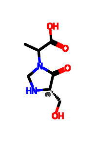 CC(C(=O)O)N1CN[C@@H](CO)C1=O